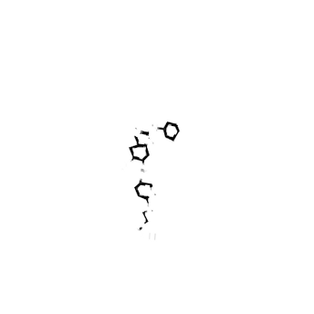 COCCNc1ccc(COc2cc3nc(Nc4cccc(F)c4)ncc3cc2C)cn1